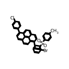 Cc1ccc(S(=O)(=O)C2=C(c3ccc4ccc5c(-c6ccc(Cl)cc6)ccc6ccc3c4c65)C3C=CC2(Br)CC3)cc1